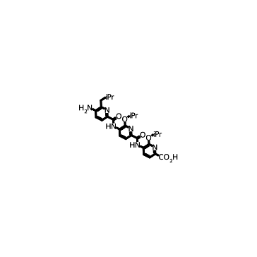 CC(C)Cc1nc(C(=O)Nc2ccc(C(=O)Nc3ccc(C(=O)O)nc3OC(C)C)nc2OC(C)C)ccc1N